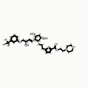 O=C(OCCN1CCOCC1)c1ccc(CCC[C@@H]2[C@@H](/C=C/[C@@H](O)COc3cccc(C(F)(F)F)c3)[C@H](O)C[C@@H]2O)s1